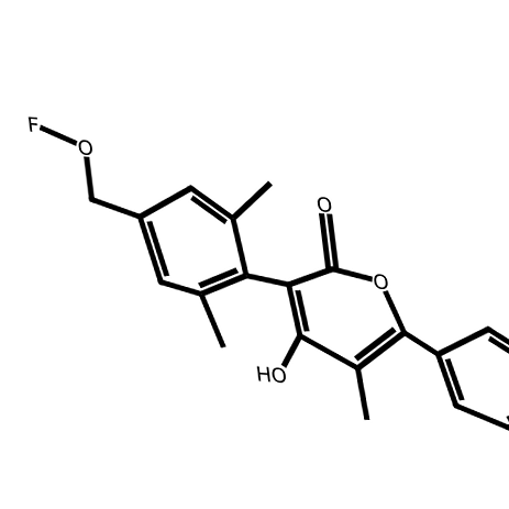 Cc1cc(COF)cc(C)c1-c1c(O)c(C)c(-c2ccccc2)oc1=O